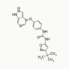 CC(C)(C)c1cc(NC(=O)Nc2ccc(ON3C=NC=C4NNC=C43)cc2)on1